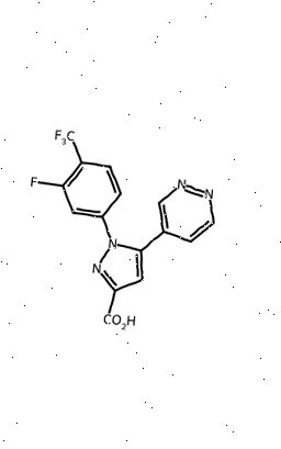 O=C(O)c1cc(-c2ccnnc2)n(-c2ccc(C(F)(F)F)c(F)c2)n1